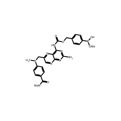 CNC(=O)c1ccc(N(C)Cc2cnc3nc(N)nc(NC(=O)OCc4ccc(B(O)OC)cc4)c3n2)cc1